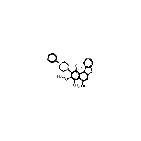 COc1c(N2CCN(c3ccccc3)CC2)c(C)c2c3c(cc(O)c2c1C)Cc1ccccc1-3